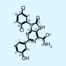 NC(=O)c1nc(-c2cccc(O)c2)nc2c1[nH]c(=O)n2-c1cc(Cl)ccc1Cl